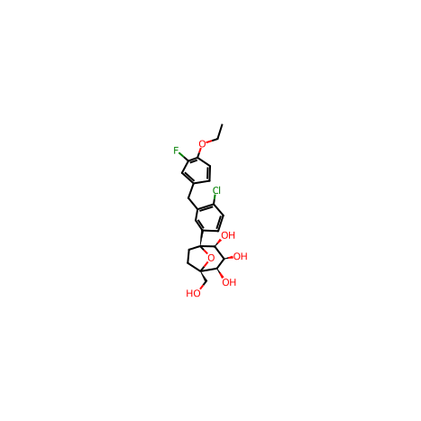 CCOc1ccc(Cc2cc([C@]34CC[C@](CO)(O3)[C@H](O)[C@H](O)[C@@H]4O)ccc2Cl)cc1F